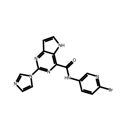 O=C(Nc1ccc(Br)nc1)c1nc(-n2ccnc2)nc2cc[nH]c12